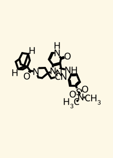 CN(C)S(=O)(=O)c1ccc(Nc2nn(C3(CC#N)CCN(C(=O)C45CC6C[C@H](C4)C[C@@H](C6)C5)CC3)c3cc[nH]c(=O)c23)cc1